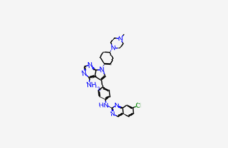 CN1CCN([C@H]2CC[C@@H](n3cc(-c4ccc(Nc5ncc6ccc(Cl)cc6n5)cc4)c4c(N)ncnc43)CC2)CC1